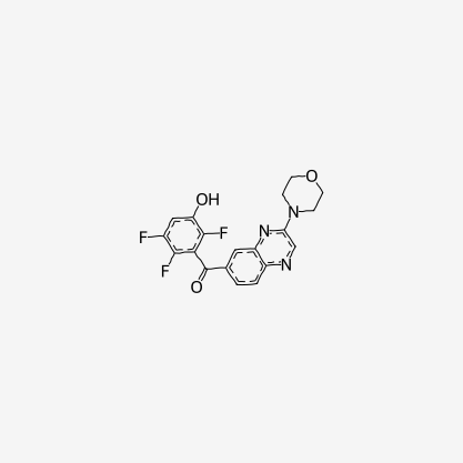 O=C(c1ccc2ncc(N3CCOCC3)nc2c1)c1c(F)c(O)cc(F)c1F